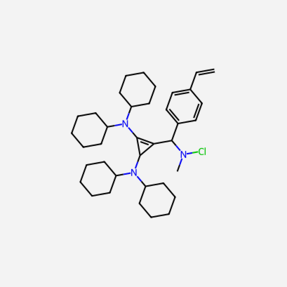 C=Cc1ccc(C(C2=C(N(C3CCCCC3)C3CCCCC3)C2N(C2CCCCC2)C2CCCCC2)N(C)Cl)cc1